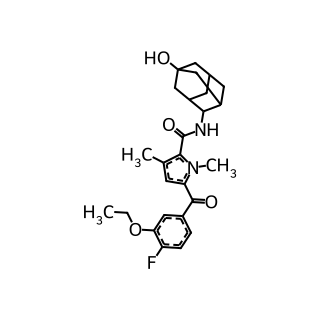 CCOc1cc(C(=O)c2cc(C)c(C(=O)NC3C4CC5CC3CC(O)(C5)C4)n2C)ccc1F